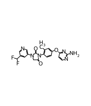 Cc1cc(Oc2ccnc(N)n2)ccc1N1C(=O)CN(c2cncc(C(F)F)c2)C1=O